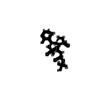 Cc1cccnc1[C@@H](OS(C)(=O)=O)[C@@H]1CCC(=O)N1CCC(=O)OC(C)(C)C